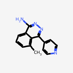 Cc1cccc2c(N)nnc(-c3ccncc3)c12